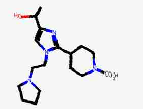 CC(O)c1cn(CCN2CCCC2)c(C2CCN(C(=O)O)CC2)n1